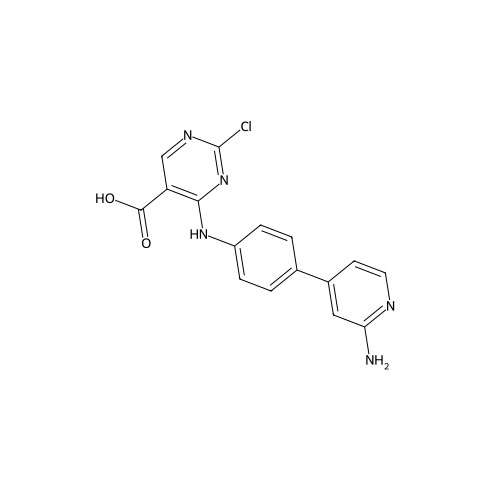 Nc1cc(-c2ccc(Nc3nc(Cl)ncc3C(=O)O)cc2)ccn1